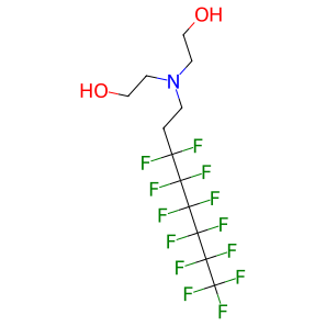 OCCN(CCO)CCC(F)(F)C(F)(F)C(F)(F)C(F)(F)C(F)(F)C(F)(F)F